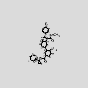 CNC(=O)c1c(-c2ccc(F)cc2)oc2ccc(-c3cc(C(=O)NC4(c5cccnn5)CC4)ccc3C)cc12